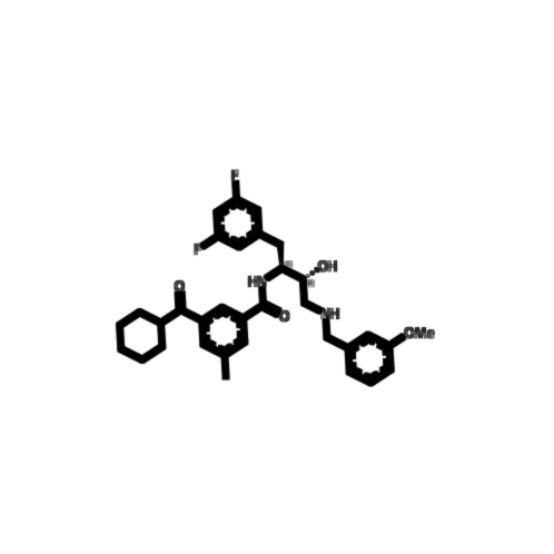 COc1cccc(CNC[C@@H](O)[C@H](Cc2cc(F)cc(F)c2)NC(=O)c2cc(C)cc(C(=O)C3CCCCC3)c2)c1